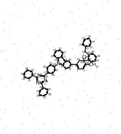 CC1=CC=C(c2ccc3c(c2)c2ccccc2n3-c2ccc(C(=N/C(=N)c3ccccc3)/N=C/c3ccccc3)cc2)CC1(C)c1ccccc1Cc1ccccc1